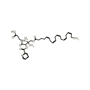 CC/C=C\C/C=C\C/C=C\C/C=C\C/C=C\CCCC(=O)OCC(C)(C)[C@@H](OC(=O)c1ccccn1)C(=O)NCCC(=O)O